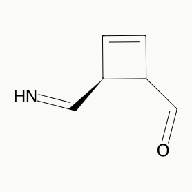 N=C[C@H]1C=CC1C=O